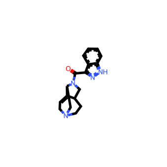 O=C(c1n[nH]c2ccccc12)N1CC2CCN3CC=C2C1C3